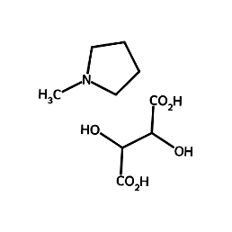 CN1CCCC1.O=C(O)C(O)C(O)C(=O)O